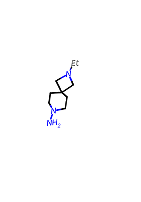 CCN1CC2(CCN(N)CC2)C1